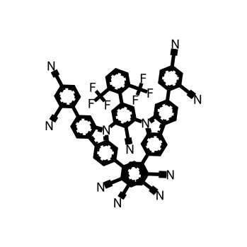 N#Cc1ccc(-c2ccc3c4ccc(-c5ccc(C#N)cc5C#N)cc4n(-c4cc(-c5c(C(F)(F)F)cccc5C(F)(F)F)cc(-n5c6cc(-c7ccc(C#N)cc7C#N)ccc6c6ccc(-c7ccc(C#N)cc7C#N)cc65)c4C#N)c3c2)c(C#N)c1